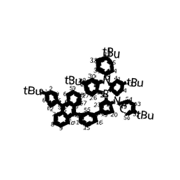 CC(C)(C)c1ccc(-c2c3ccccc3c(-c3cccc(-c4ccc5c(c4)B4c6ccc(C(C)(C)C)cc6N(c6ccc(C(C)(C)C)cc6)c6cc(C(C)(C)C)cc(c64)N5c4ccc(C(C)(C)C)cc4)c3)c3ccccc23)cc1